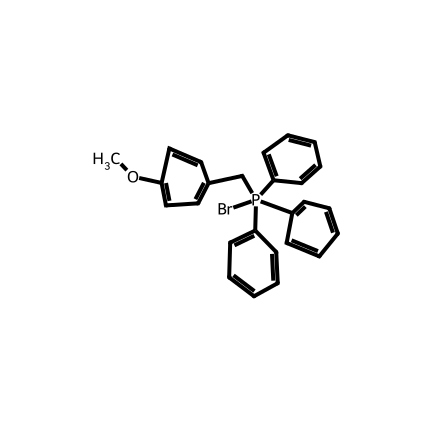 COc1ccc(CP(Br)(c2ccccc2)(c2ccccc2)c2ccccc2)cc1